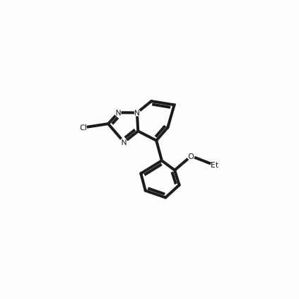 CCOc1ccccc1-c1cccn2nc(Cl)nc12